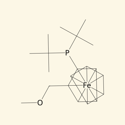 COC[C]12[CH]3[CH]4[CH]5[C]1(P(C(C)(C)C)C(C)(C)C)[Fe]43521678[CH]2[CH]1[CH]6[CH]7[CH]28